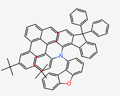 CC(C)(C)c1cc(-c2cccc3cccc(-c4ccccc4N(c4cccc5c4-c4ccccc4C5(c4ccccc4)c4ccccc4)c4cccc5oc6ccccc6c45)c23)cc(C(C)(C)C)c1